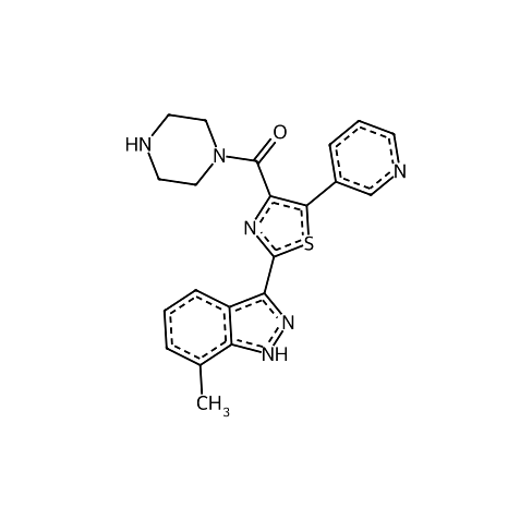 Cc1cccc2c(-c3nc(C(=O)N4CCNCC4)c(-c4cccnc4)s3)n[nH]c12